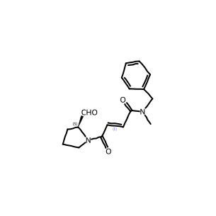 CN(Cc1ccccc1)C(=O)/C=C/C(=O)N1CCC[C@H]1C=O